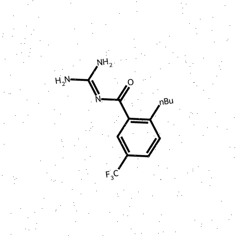 CCCCc1ccc(C(F)(F)F)cc1C(=O)N=C(N)N